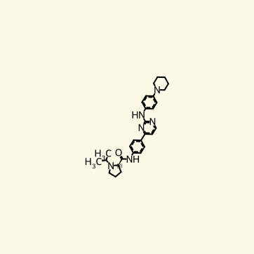 CC(C)N1CCC[C@@H]1C(=O)Nc1ccc(-c2ccnc(Nc3ccc(N4CCCCC4)cc3)n2)cc1